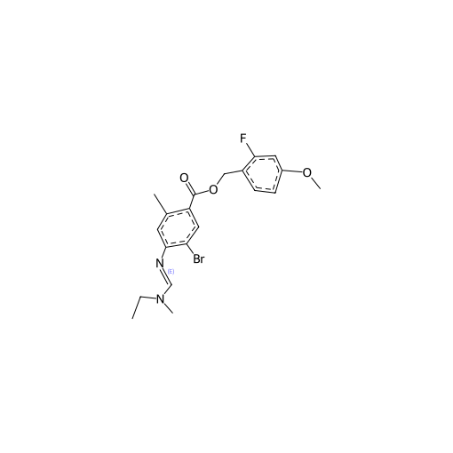 CCN(C)/C=N/c1cc(C)c(C(=O)OCc2ccc(OC)cc2F)cc1Br